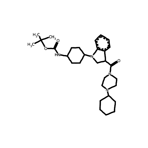 CC(C)(C)OC(=O)NC1CCC(N2CC(C(=O)N3CCN(C4CCCCC4)CC3)c3ccccc32)CC1